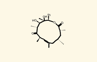 CC[C@H]1OC(=O)[C@H](C)C[C@H](C)C/C(C)=C/[C@@H](C)C(=O)[C@H](C)[C@@H](O)[C@]1(C)O